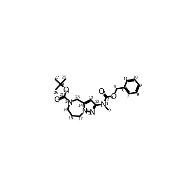 CN(C(=O)OCc1ccccc1)c1cc2n(n1)CCCN(C(=O)OC(C)(C)C)C2